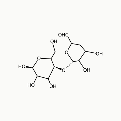 O=CC1CC(O)C(O)[C@H](O[C@@H]2C(CO)O[C@H](O)C(O)C2O)O1